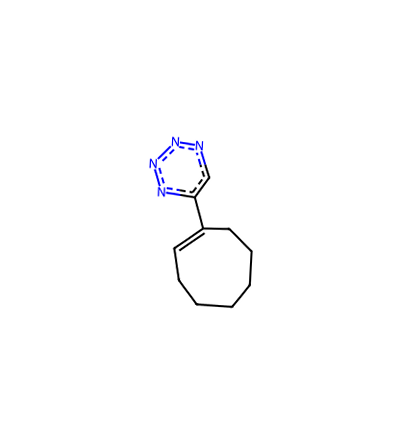 C1=C(c2cnnnn2)CCCCCC1